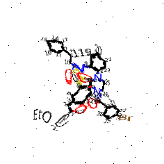 CCOC(=O)c1cc2cc(S(=O)(=O)N(CCc3ccccc3)c3ccccc3N3CCN(C(=O)c4ccc(Br)cc4)CC3)ccc2o1